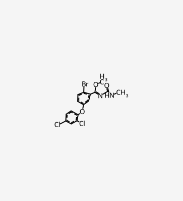 CNC(=O)N=C(OC)c1cc(Oc2ccc(Cl)cc2Cl)ccc1Br